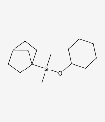 C[Si](C)(OC1CCCCC1)C12CCC(CC1)C2